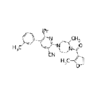 Cc1cccc(-c2cc(C#N)c(N3CCN(C(=O)c4ccoc4C)C(C)C3)nc2C(C)C)c1